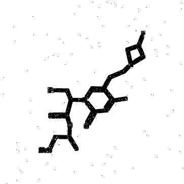 COCC(C)OC(=O)C(CC(C)C)n1cc(CCN2CC(F)C2)c(C)cc1=O